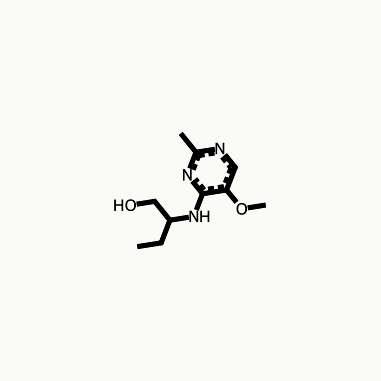 CCC(CO)Nc1nc(C)ncc1OC